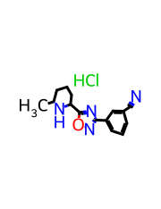 CC1CCCC(c2nc(-c3cccc(C#N)c3)no2)N1.Cl